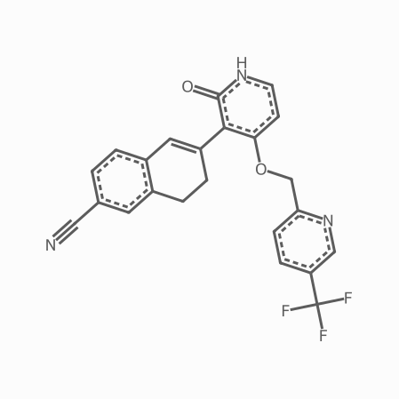 N#Cc1ccc2c(c1)CCC(c1c(OCc3ccc(C(F)(F)F)cn3)cc[nH]c1=O)=C2